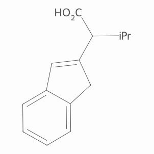 CC(C)C(C(=O)O)C1=Cc2ccccc2C1